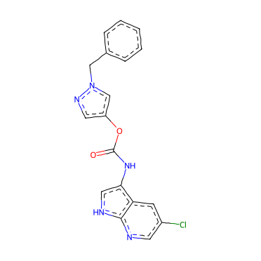 O=C(Nc1c[nH]c2ncc(Cl)cc12)Oc1cnn(Cc2ccccc2)c1